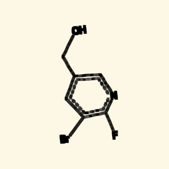 OCc1cnc(F)c(Br)c1